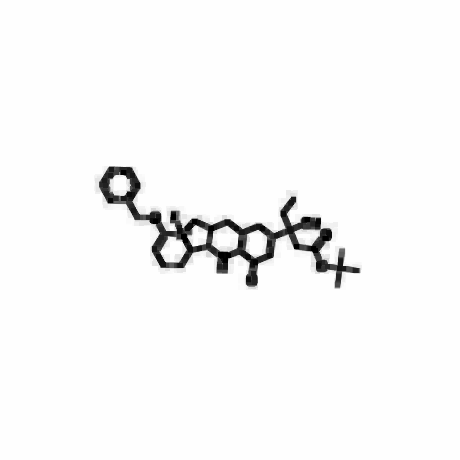 CCC(O)(CC(=O)OC(C)(C)C)C1=CC(=O)C2=C(C1)CC1C[N+]3(F)C(OCc4ccccc4)=CCCC3C1N2